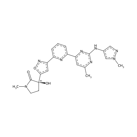 Cc1cc(-c2cccc(-c3cc([C@]4(O)CCN(C)C4=O)on3)n2)nc(Nc2cnn(C)c2)n1